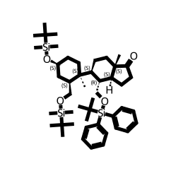 CC(C)(C)[Si](C)(C)OC[C@H]1C[C@@H](O[Si](C)(C)C(C)(C)C)CC[C@@]1(C)[C@H]1CC[C@]2(C)C(=O)CC[C@H]2[C@@H]1CO[Si](c1ccccc1)(c1ccccc1)C(C)(C)C